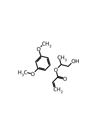 C=CC(=O)OC(C)CO.COc1cccc(OC)c1